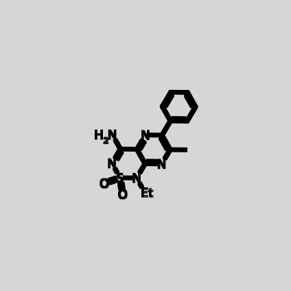 CCN1c2nc(C)c(-c3ccccc3)nc2C(N)=NS1(=O)=O